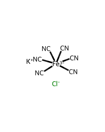 N#[C][Fe-3]([C]#N)([C]#N)([C]#N)([C]#N)[C]#N.[Cl-].[K+]